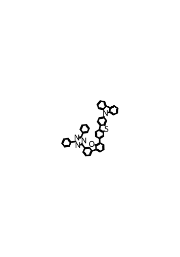 c1ccc(-c2nc(-c3ccccc3)nc(-c3cccc4c3oc3c(-c5ccc6c(c5)sc5cc(-n7c8ccccc8c8ccccc87)ccc56)cccc34)n2)cc1